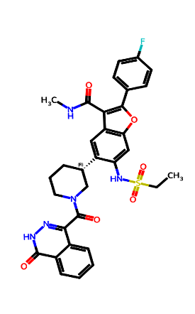 CCS(=O)(=O)Nc1cc2oc(-c3ccc(F)cc3)c(C(=O)NC)c2cc1[C@H]1CCCN(C(=O)c2n[nH]c(=O)c3ccccc23)C1